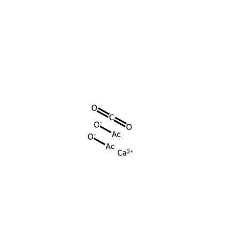 CC(=O)[O-].CC(=O)[O-].O=C=O.[Ca+2]